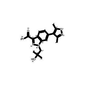 Cc1noc(C)c1-c1ccc2c(C(=O)C(C)C)nn(CC(C)(C)O)c2c1